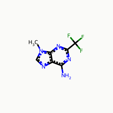 Cn1cnc2c(N)nc(C(F)(F)F)nc21